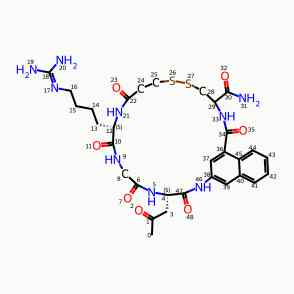 CC(=O)C[C@@H]1NC(=O)CNC(=O)[C@H](CCCCN=C(N)N)NC(=O)CCSSCC(C(N)=O)NC(=O)c2cc(cc3ccccc23)NC1=O